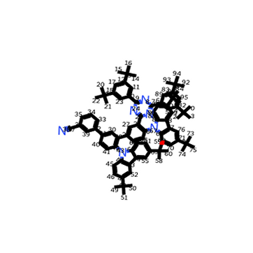 CC(C)(C)c1cc(-c2nc(-c3cc(C(C)(C)C)cc(C(C)(C)C)c3)nc(-c3cc(-c4cc(-c5cccc(C#N)c5)ccc4-n4c5ccc(C(C)(C)C)cc5c5cc(C(C)(C)C)ccc54)ccc3-n3c4ccc(C(C)(C)C)cc4c4cc(C(C)(C)C)ccc43)n2)cc(C(C)(C)C)c1